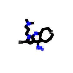 CCc1cc2c(n1CCCN(C)C)N=C1CCCCCCC(=C2N)C1